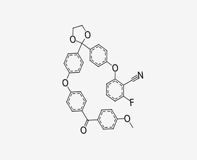 COc1ccc(C(=O)c2ccc(Oc3ccc(C4(c5ccc(Oc6cccc(F)c6C#N)cc5)OCCO4)cc3)cc2)cc1